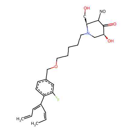 C=C/C=C(\C=C/C)c1ccc(COCCCCCN2C[C@H](O)C(=O)C(N=O)[C@@H]2CO)cc1F